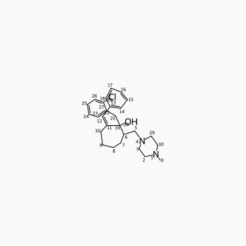 CN1CCN(CC2CCCCC(=Cc3ccccc3)C2(O)Cc2ccccc2Cl)CC1